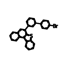 Brc1ccc(-c2cccc(-c3cc4ccccc4c4c3sc3ccccc34)c2)cc1